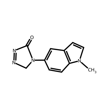 Cn1ccc2cc(N3CN=NC3=O)ccc21